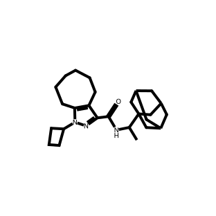 CC(NC(=O)c1nn(C2CCC2)c2c1CCCCCC2)C12CC3CC(CC(C3)C1)C2